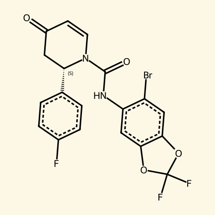 O=C1C=CN(C(=O)Nc2cc3c(cc2Br)OC(F)(F)O3)[C@H](c2ccc(F)cc2)C1